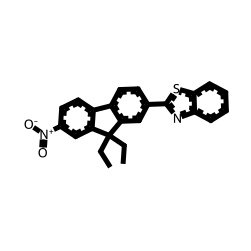 CCC1(CC)c2cc(-c3nc4ccccc4s3)ccc2-c2ccc([N+](=O)[O-])cc21